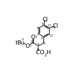 CC(C)(C)OC(=O)[C@@H](Cc1ccc(Cl)c(Cl)c1)C(=O)O